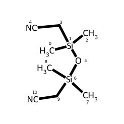 C[Si](C)(CC#N)O[Si](C)(C)CC#N